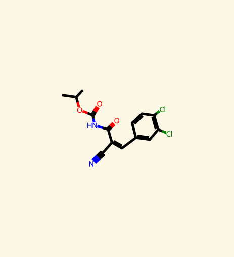 CC(C)OC(=O)NC(=O)C(C#N)=Cc1ccc(Cl)c(Cl)c1